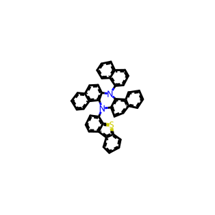 c1ccc2c(N3c4ccc5ccccc5c4N(c4cccc5c4sc4ccccc45)c4ccc5ccccc5c43)cccc2c1